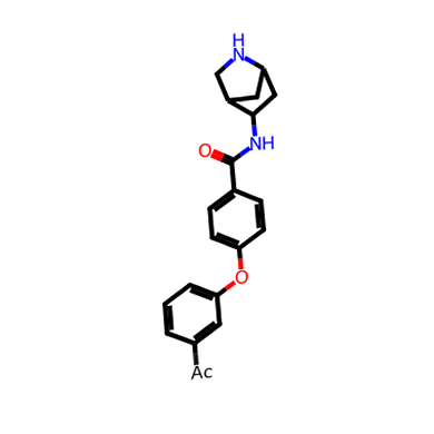 CC(=O)c1cccc(Oc2ccc(C(=O)NC3CC4CC3CN4)cc2)c1